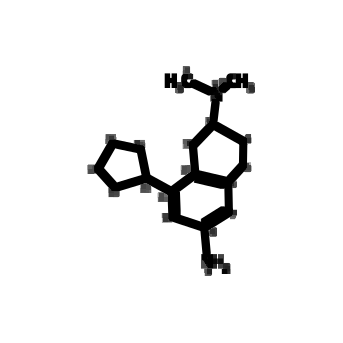 CN(C)C1CCc2cc(N)cc(C3CCCC3)c2C1